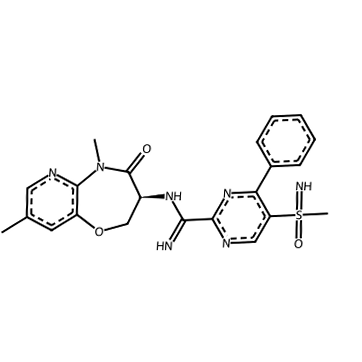 Cc1cnc2c(c1)OC[C@H](NC(=N)c1ncc(S(C)(=N)=O)c(-c3ccccc3)n1)C(=O)N2C